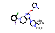 CN1CCC[C@H]1COc1nc2c(c(N3CCN(C(=O)O)[C@@](CC#N)(C(C)(C)C)C3)n1)CCCN(c1c(F)cccc1I)C2